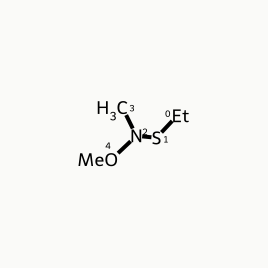 CCSN(C)OC